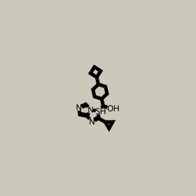 OC(C1CCC(C2CCC2)CC1)[SH]1C(C2CC2)=Nc2cncn21